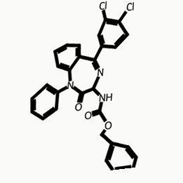 O=C(NC1N=C(c2ccc(Cl)c(Cl)c2)c2ccccc2N(c2ccccc2)C1=O)OCc1ccccc1